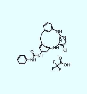 O=C(Nc1ccccc1)Nc1cc2cc(c1)Nc1nc(ncc1Cl)Nc1cccc(c1)CC2.O=C(O)C(F)(F)F